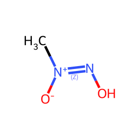 C/[N+]([O-])=N/O